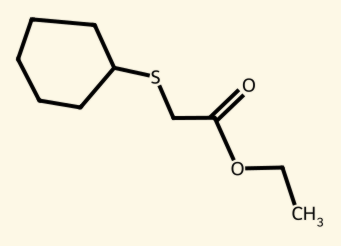 CCOC(=O)CSC1CCCCC1